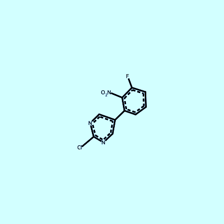 O=[N+]([O-])c1c(F)cccc1-c1cnc(Cl)nc1